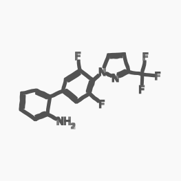 Nc1ccccc1-c1cc(F)c(-n2ccc(C(F)(F)F)n2)c(F)c1